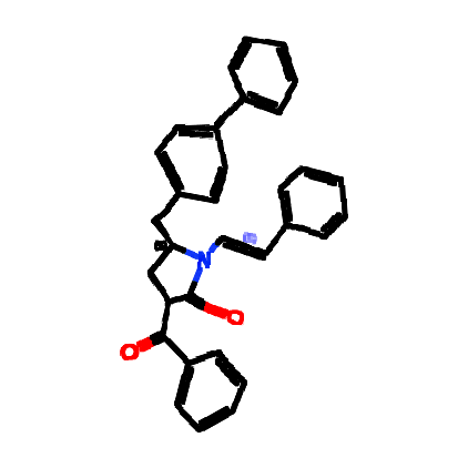 O=C(c1ccccc1)C1C[C@@H](Cc2ccc(-c3ccccc3)cc2)N(/C=C/c2ccccc2)C1=O